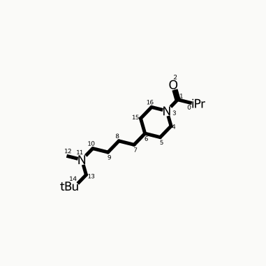 CC(C)C(=O)N1CCC(CCCCN(C)CC(C)(C)C)CC1